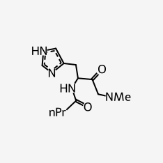 CCCC(=O)NC(Cc1c[nH]cn1)C(=O)CNC